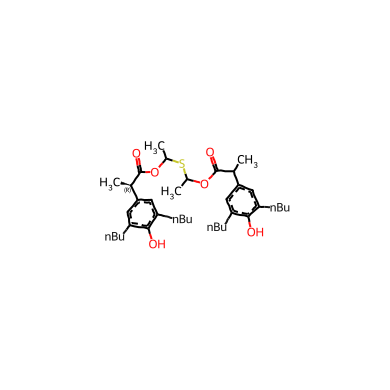 CCCCc1cc(C(C)C(=O)OC(C)SC(C)OC(=O)[C@H](C)c2cc(CCCC)c(O)c(CCCC)c2)cc(CCCC)c1O